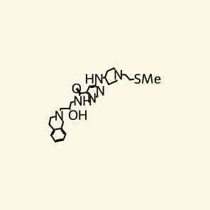 CSCCN1CCC(Nc2cc(C(=O)NC[C@H](O)CN3CCc4ccccc4C3)ncn2)CC1